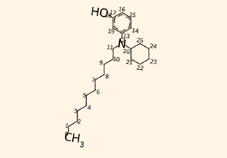 CCCCCCCCCCCCN(c1cccc(O)c1)C1CCCCC1